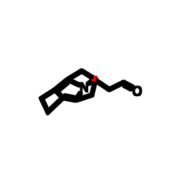 O=CCCn1c2c3c(c1CCC2)CC3